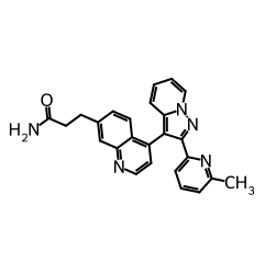 Cc1cccc(-c2nn3ccccc3c2-c2ccnc3cc(CCC(N)=O)ccc23)n1